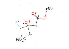 CCCCOC(=O)CC(O)(CF)CC(=O)O